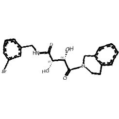 O=C(NCc1cccc(Br)c1)[C@@H](O)[C@H](O)C(=O)N1CCc2ccccc2C1